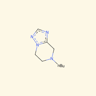 CCCCN1CCn2ncnc2C1